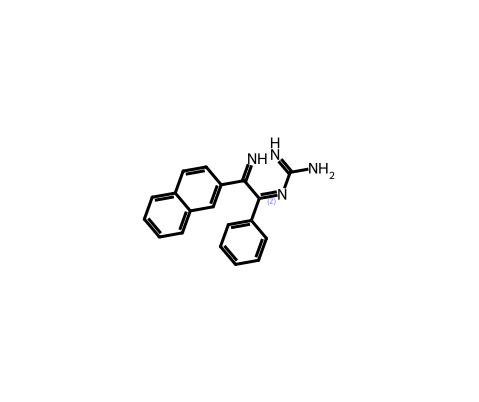 N=C(N)/N=C(\C(=N)c1ccc2ccccc2c1)c1ccccc1